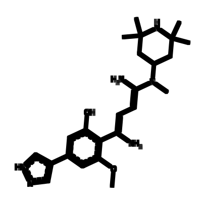 COc1cc(-c2cn[nH]c2)cc(O)c1/C(N)=C/C=C(\N)N(C)C1CC(C)(C)NC(C)(C)C1